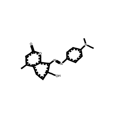 Cc1cc(=O)oc2c(/N=N/c3ccc(N(C)C)cc3)c(O)ccc12